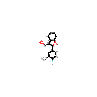 Cc1cc(-c2oc3ccccc3c2CO)ccc1F